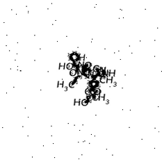 CCCCN1C(=O)[C@@H]([C@H](O)C2CCCCC2)NC(=O)C12CCN(C(c1ccc(S(=O)(=O)N(C)CCO)cc1)c1c(C)n[nH]c1C)CC2